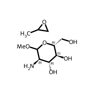 CC1CO1.COC1O[C@H](CO)[C@@H](O)[C@H](O)[C@H]1N